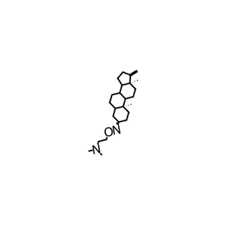 C=C1CCC2C3CCC4CC(=NOCCN(C)C)CC[C@]4(C)C3CC[C@]12C